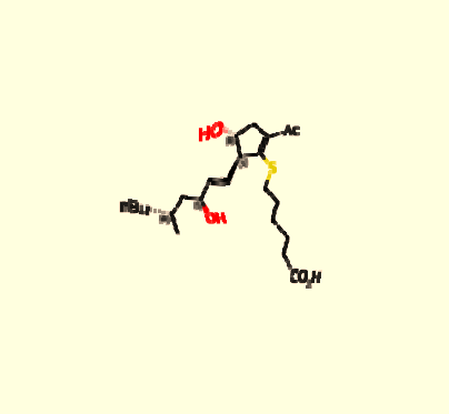 CCCC[C@@H](C)C[C@H](O)C=C[C@@H]1C(SCCCCCC(=O)O)=C(C(C)=O)C[C@H]1O